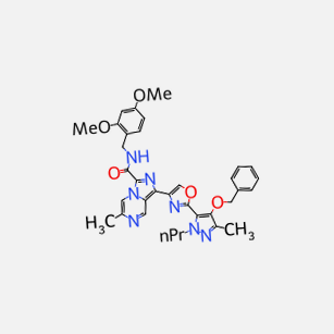 CCCn1nc(C)c(OCc2ccccc2)c1-c1nc(-c2nc(C(=O)NCc3ccc(OC)cc3OC)n3cc(C)ncc23)co1